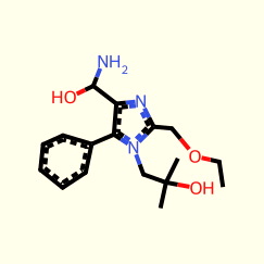 CCOCc1nc(C(N)O)c(-c2ccccc2)n1CC(C)(C)O